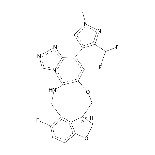 Cn1cc(-c2cc3c(n4cnnc24)NCc2c(F)ccc4c2[C@H](CO4)CO3)c(C(F)F)n1